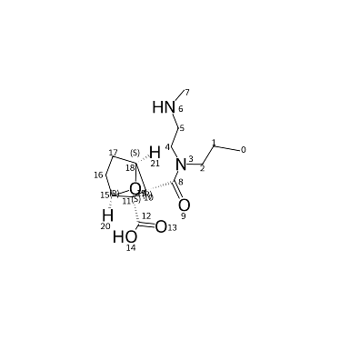 CCCN(CCNC)C(=O)[C@@H]1[C@H](C(=O)O)[C@H]2CC[C@@H]1O2